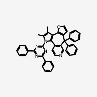 Cc1c2c(n(-c3nc(-c4ccccc4)nc(-c4ccccc4)n3)c1C)-c1ccncc1C(c1ccccc1)(c1ccccc1)c1ccoc1-2